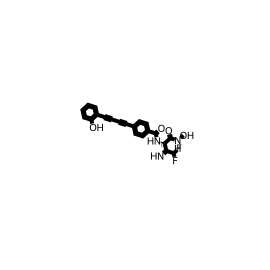 N=C(C(F)F)[C@H](NC(=O)c1ccc(C#CC#Cc2ccccc2O)cc1)C(=O)NO